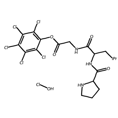 CC(C)CC(NC(=O)C1CCCN1)C(=O)NCC(=O)Oc1c(Cl)c(Cl)c(Cl)c(Cl)c1Cl.OCl